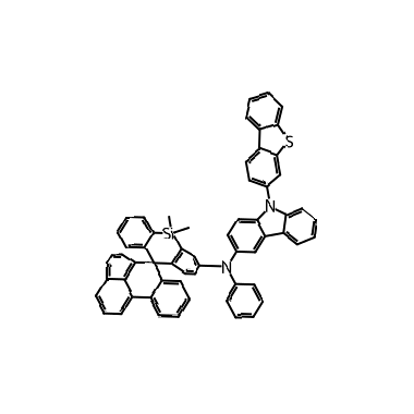 C[Si]1(C)c2ccccc2C2(c3ccccc3-c3cccc4cccc2c34)c2ccc(N(c3ccccc3)c3ccc4c(c3)c3ccccc3n4-c3ccc4c(c3)sc3ccccc34)cc21